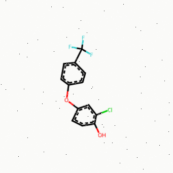 Oc1ccc(Oc2ccc(C(F)(F)F)cc2)cc1Cl